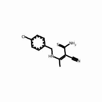 CC(NCc1ccc(Cl)cc1)=C(C#N)C(N)=S